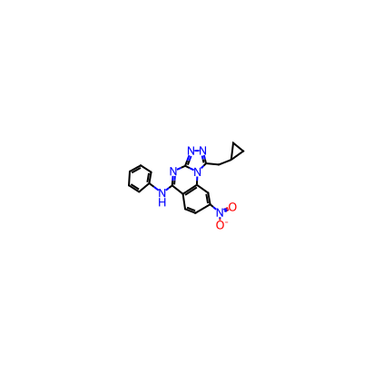 O=[N+]([O-])c1ccc2c(Nc3ccccc3)nc3nnc(CC4CC4)n3c2c1